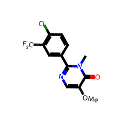 COc1cnc(-c2ccc(Cl)c(C(F)(F)F)c2)n(C)c1=O